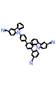 N#Cc1ccc(-n2c3ccccc3c3cc(C#N)ccc32)c(-c2ccc(-c3ccc(-n4c5ccccc5c5cc(C#N)ccc54)cc3)cc2)c1